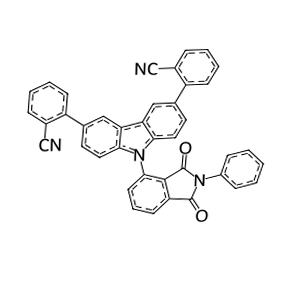 N#Cc1ccccc1-c1ccc2c(c1)c1cc(-c3ccccc3C#N)ccc1n2-c1cccc2c1C(=O)N(c1ccccc1)C2=O